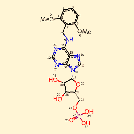 COc1cccc(OC)c1CNc1ncnc2c1ncn2[C@@H]1O[C@H](COP(=O)(O)O)[C@@H](O)[C@H]1O